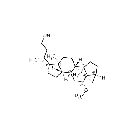 CO[C@@H]1C[C@H]2[C@@H]3CC[C@H]([C@H](C)CCO)[C@@]3(C)CC[C@@H]2[C@@]2(C)CC[C@H]3C[C@]312